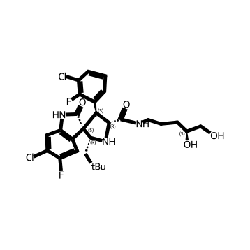 CC(C)(C)C[C@H]1N[C@@H](C(=O)NCCC[C@H](O)CO)[C@H](c2cccc(Cl)c2F)[C@@]12C(=O)Nc1cc(Cl)c(F)cc12